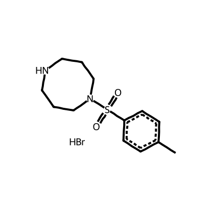 Br.Cc1ccc(S(=O)(=O)N2CCCNCCC2)cc1